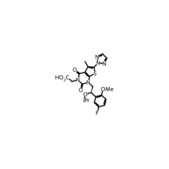 COc1ccc(F)cc1[C@H](Cn1c(=O)n(CC(=O)O)c(=O)c2c(C)c(-n3nccn3)sc21)OC(C)C